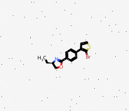 CC[C@@H]1COC(c2ccc(-c3ccsc3Br)cc2)=N1